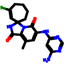 Cc1cc(Nc2cc(N)ncn2)c(=O)n2c1C(=O)NC21C=C(F)CCCC1